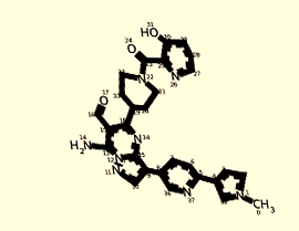 Cn1ccc(-c2ccc(-c3cnn4c(N)c(C=O)c(C5CCN(C(=O)c6ncccc6O)CC5)nc34)cn2)c1